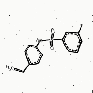 C=Cc1ccc(NS(=O)(=O)c2cccc(F)c2)cc1